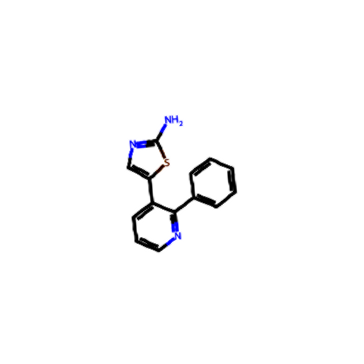 Nc1ncc(-c2cccnc2-c2ccccc2)s1